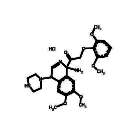 COc1cc2c(cc1OC)C(N)(C(=O)COc1c(OC)cccc1OC)N=CN2N1CCNCC1.Cl